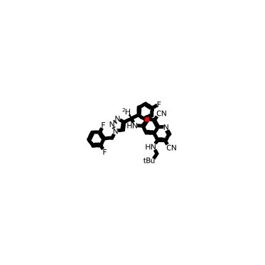 [2H][C@](Nc1cc(C#N)c2ncc(C#N)c(NCC(C)(C)C)c2c1)(c1ccc(F)cc1)c1cn(Cc2c(F)cccc2F)nn1